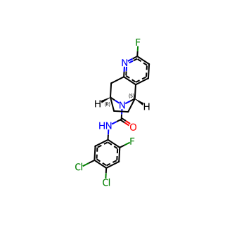 O=C(Nc1cc(Cl)c(Cl)cc1F)N1[C@@H]2CC[C@H]1c1ccc(F)nc1C2